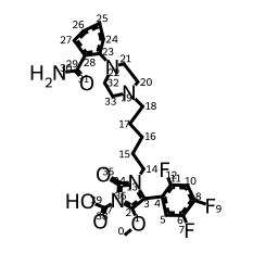 COc1c(-c2cc(F)c(F)cc2F)n(CCCCCN2CCN(c3ccccc3C(N)=O)CC2)c(=O)n1C(=O)O